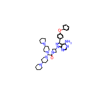 Nc1ncnc2c1c(-c1ccc(Oc3ccccc3)cc1)nn2C1CN(C(=O)C(N2CCC(N3CCCCC3)CC2)N2CCC(N3CCCCC3)CC2)C1